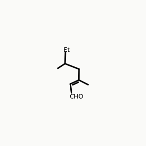 CCC(C)CC(C)=CC=O